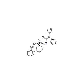 O=C1/C(=N\NC2(C(=O)O)C=CC=C(c3ccccc3O)C2)c2ccccc2N1c1ccoc1